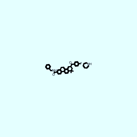 C1=CC=CNC=C1.CC1(C)CC(C(=O)c2ccc(F)cc2)C=c2c1ccc1c2=CCc2cc(C(=O)NCc3ccccc3)ccc2-1